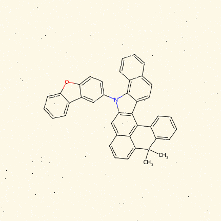 CC1(C)c2ccccc2-c2c3c1cccc3cc1c2c2ccc3ccccc3c2n1-c1ccc2oc3ccccc3c2c1